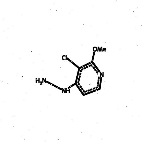 COc1nccc(NN)c1Cl